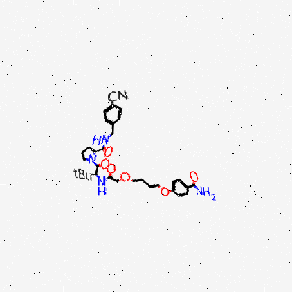 CC(C)(C)[C@H](NC(=O)COCCCCOc1ccc(C(N)=O)cc1)C(=O)N1CCC[C@H]1C(=O)NCc1ccc(C#N)cc1